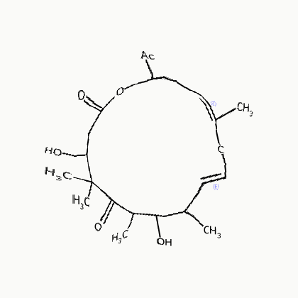 CC(=O)C1C/C=C(/C)C/C=C/C(C)C(O)C(C)C(=O)C(C)(C)C(O)CC(=O)O1